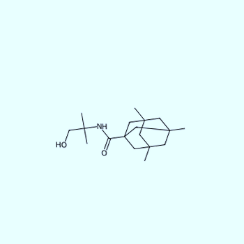 CC12CC3(C)CC(C)(C1)CC(C(=O)NC(C)(C)CO)(C2)C3